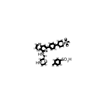 CS(=O)(=O)N1CCC(c2ccc(-c3cc4nccnc4c(NC[C@@H]4CNCCO4)n3)cc2)CC1.Cc1ccc(S(=O)(=O)O)cc1